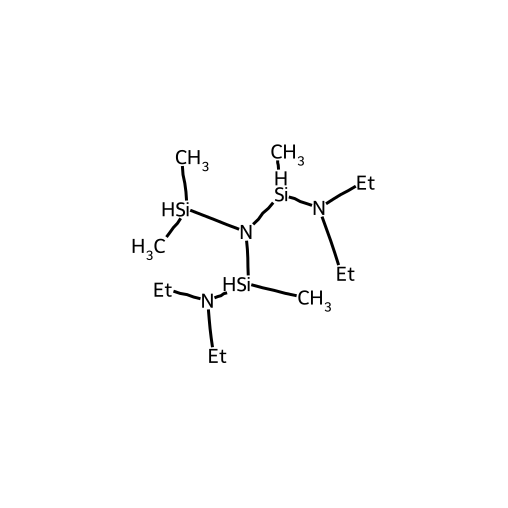 CCN(CC)[SiH](C)N([SiH](C)C)[SiH](C)N(CC)CC